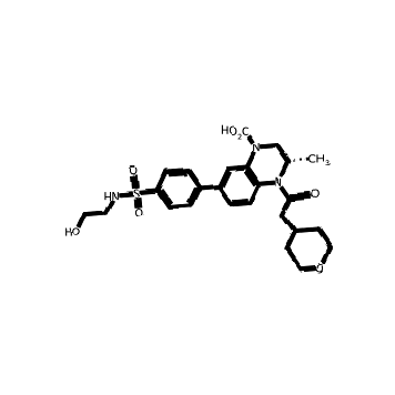 C[C@H]1CN(C(=O)O)c2cc(-c3ccc(S(=O)(=O)NCCO)cc3)ccc2N1C(=O)CC1CCOCC1